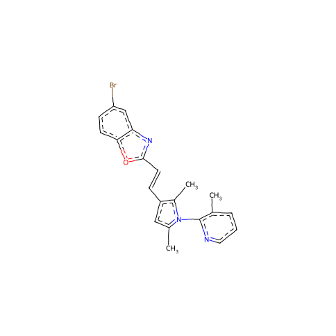 Cc1cccnc1-n1c(C)cc(C=Cc2nc3cc(Br)ccc3o2)c1C